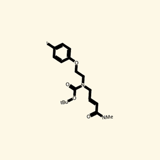 CNC(=O)/C=C/CN(CCOc1ccc(I)cc1)C(=O)OC(C)(C)C